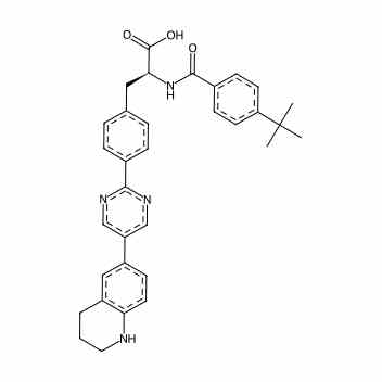 CC(C)(C)c1ccc(C(=O)N[C@@H](Cc2ccc(-c3ncc(-c4ccc5c(c4)CCCN5)cn3)cc2)C(=O)O)cc1